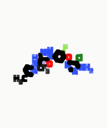 Cc1ccc(N/C(=C(\C=N)C(=O)Nc2ccc(Oc3ncnc(N)c3Cl)c(F)c2)C(F)(F)F)nc1